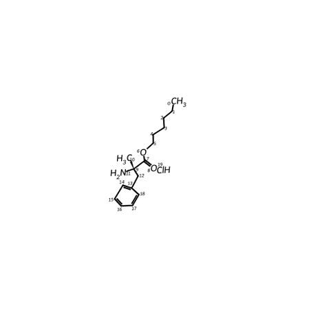 CCCCCCOC(=O)[C@@](C)(N)Cc1ccccc1.Cl